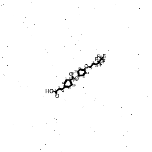 O=C(O)C=Cc1ccc(C(=O)Oc2ccc(OCCCC(F)(F)C(F)(F)F)cc2)cc1